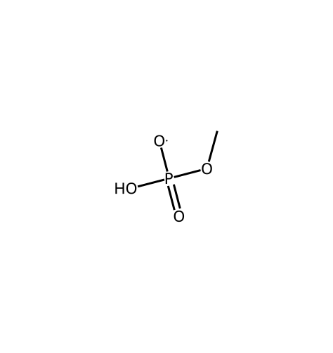 COP([O])(=O)O